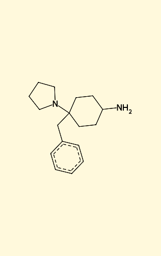 NC1CCC(Cc2ccccc2)(N2CCCC2)CC1